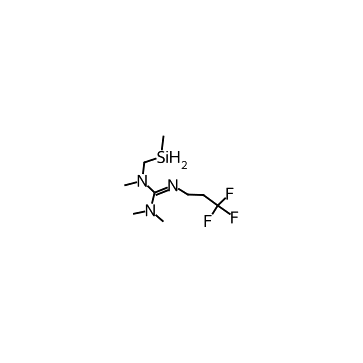 C[SiH2]CN(C)C(=NCCC(F)(F)F)N(C)C